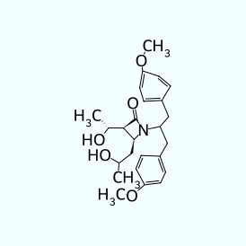 COc1ccc(CC(Cc2ccc(OC)cc2)N2C(=O)[C@H]([C@@H](C)O)[C@@H]2CC(C)O)cc1